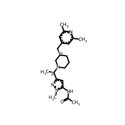 CC(=O)Nc1cc([C@@H](C)N2CCC[C@H](Cc3cc(C)nc(C)c3)C2)nn1C